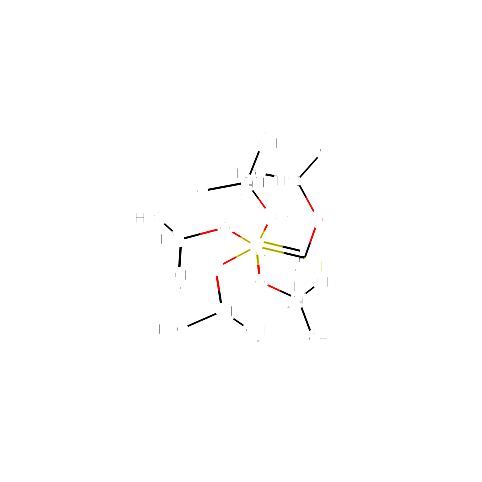 C[SiH](C)OC(S)=S(O[SiH](C)C)(O[SiH](C)C)(O[SiH](C)C)O[SiH](C)C